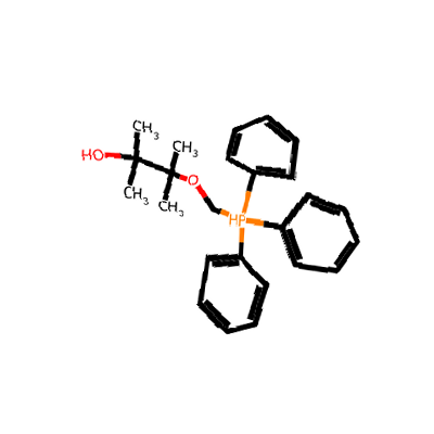 CC(C)(O)C(C)(C)OC[PH](c1ccccc1)(c1ccccc1)c1ccccc1